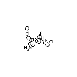 NC(=O)Oc1cn(CC(=O)N2C[C@H](F)C[C@H]2C(=O)NCc2cccc(Cl)c2F)c2cc(OCc3ccccc3)ccc12